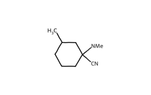 CNC1(C#N)CCCC(C)C1